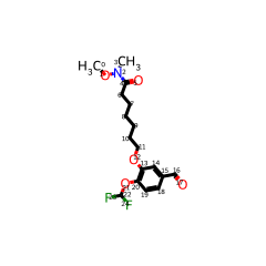 CON(C)C(=O)CCCCCCOc1cc(C=O)ccc1OC(F)F